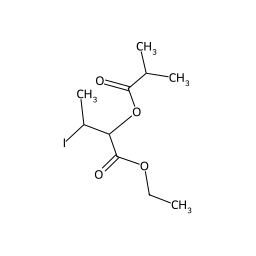 CCOC(=O)C(OC(=O)C(C)C)C(C)I